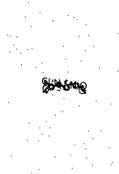 [C-]#[N+]c1cc(-c2ncc(-c3cccc(CN4CCC(C(=O)OCC)CC4)c3CC)s2)ccc1OC(C)C